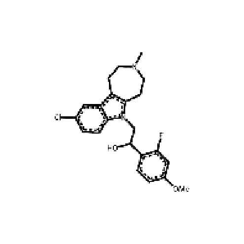 COc1ccc(C(O)Cn2c3c(c4cc(Cl)ccc42)CCN(C)CC3)c(F)c1